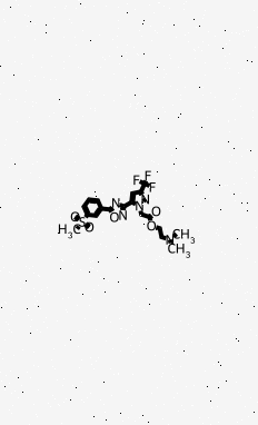 CN(C)CCOC(=O)Cn1nc(C(F)(F)F)cc1-c1noc(-c2cccc(S(C)(=O)=O)c2)n1